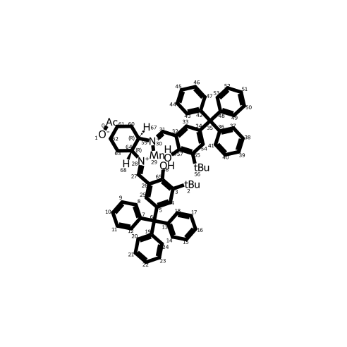 CC(=O)[O-].CC(C)(C)c1cc(C(c2ccccc2)(c2ccccc2)c2ccccc2)cc(C=[N+]2[Mn][N+](=Cc3cc(C(c4ccccc4)(c4ccccc4)c4ccccc4)cc(C(C)(C)C)c3O)[C@@H]3CCCC[C@H]32)c1O